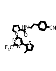 Cc1ccsc1-c1cc(N2CCCC2C(=O)NCCc2ccc(C#N)cc2)nc(C(F)(F)F)n1